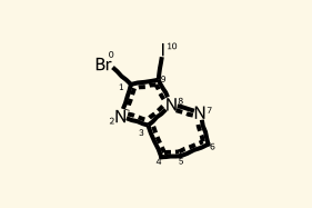 Brc1nc2cccnn2c1I